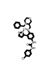 Cn1nccc1-c1cc(NC(=O)Nc2ccc(Cl)cc2)ccc1OCC1COCCN1Cc1ccccc1